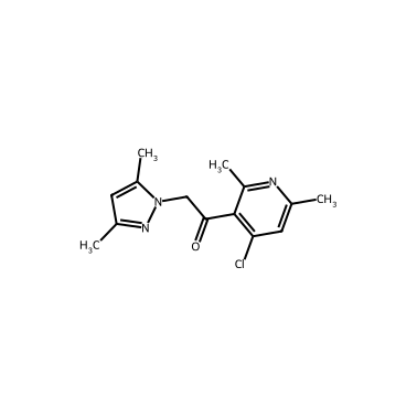 Cc1cc(Cl)c(C(=O)Cn2nc(C)cc2C)c(C)n1